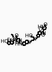 C=CCn1c(=O)c2cnc(Nc3ccc4c(c3)CCN(CCCN(CCO)CC3Cc5ccc6c(C7CCC(=O)NC7=O)noc6c5C3)C4)nc2n1-c1ccc2c(n1)[C@@](O)(CC)CC2